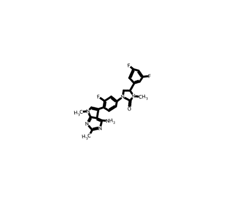 Cc1nc(N)c2c(-c3ccc(N4CC(c5cc(F)cc(F)c5)N(C)C4=O)cc3F)cn(C)c2n1